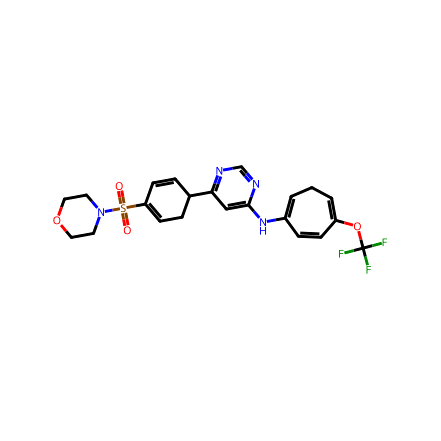 O=S(=O)(C1=CCC(c2cc(NC3=CCC=C(OC(F)(F)F)C=C3)ncn2)C=C1)N1CCOCC1